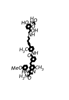 COc1cccc(Nc2c(C(N)=O)cnc3c(C)cc(Cc4cccc(C(=O)Nc5ccc(C#CCCCNC[C@H](O)c6ccc(O)c7c6OCC(=O)N7)c(C)c5)c4)cc23)c1